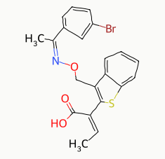 CC=C(C(=O)O)c1sc2ccccc2c1CON=C(C)c1cccc(Br)c1